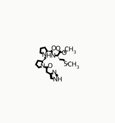 COC(=O)[C@H](CCSC)NC(=O)[C@@H]1CCCN1C[C@@H]1CCCN1C(=O)Cc1c[nH]cn1